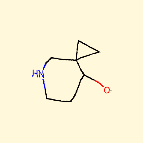 [O]C1CCNCC12CC2